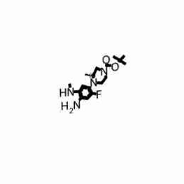 CNc1cc(N2CCN(C(=O)OC(C)(C)C)C[C@@H]2C)c(F)cc1N